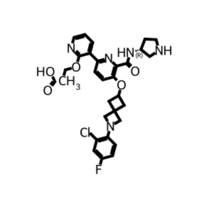 CCOc1ncccc1-c1ccc(OC2CC3(C2)CN(c2ccc(F)cc2Cl)C3)c(C(=O)N[C@@H]2CCNC2)n1.O=CO